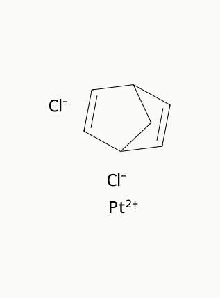 C1=CC2C=CC1C2.[Cl-].[Cl-].[Pt+2]